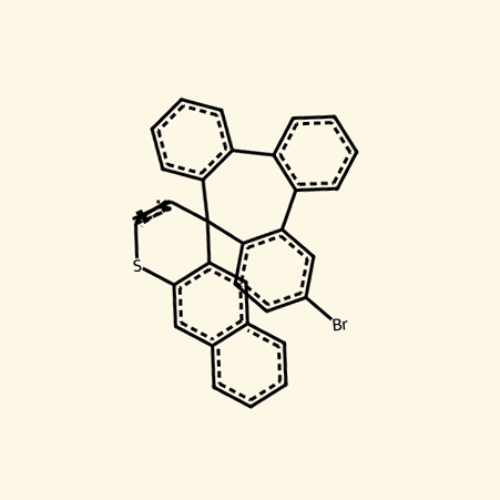 Brc1ccc2c(c1)-c1ccccc1-c1ccccc1C21c2ccccc2Sc2cc3ccccc3cc21